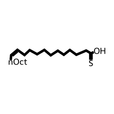 CCCCCCCC/C=C\CCCCCCCCCCC(O)=S